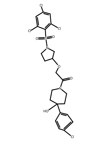 O=C(COC1CCN(S(=O)(=O)c2c(Cl)cc(Cl)cc2Cl)C1)N1CCC(O)(c2ccc(Cl)cc2)CC1